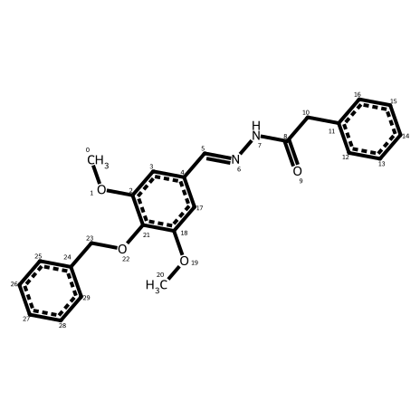 COc1cc(/C=N/NC(=O)Cc2ccccc2)cc(OC)c1OCc1ccccc1